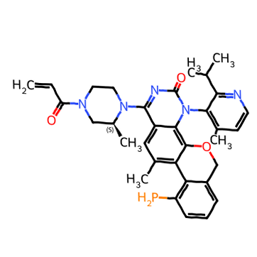 C=CC(=O)N1CCN(c2nc(=O)n(-c3c(C)ccnc3C(C)C)c3c4c(c(C)cc23)-c2c(P)cccc2CO4)[C@@H](C)C1